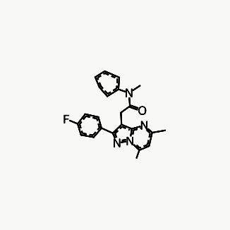 Cc1cc(C)n2nc(-c3ccc(F)cc3)c(CC(=O)N(C)c3ccccc3)c2n1